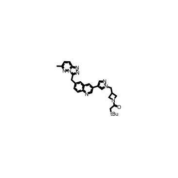 Cc1ccc2nnc(Cc3ccc4ncc(-c5cnn(CC6CN(C(=O)CC(C)(C)C)C6)c5)cc4c3)n2n1